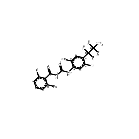 O=C(NC(=O)c1c(F)cccc1F)Nc1cc(Cl)c(C(F)(F)C(F)(F)C(F)(F)F)cc1F